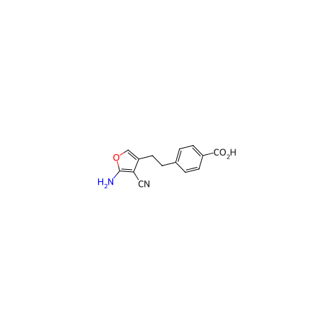 N#Cc1c(CCc2ccc(C(=O)O)cc2)coc1N